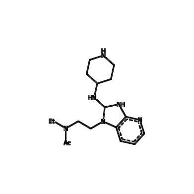 CCN(CCN1c2cccnc2NC1NC1CCNCC1)C(C)=O